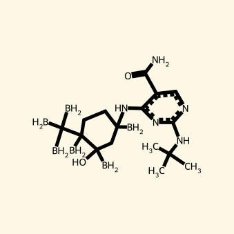 BC1(Nc2nc(NC(C)(C)C)ncc2C(N)=O)CCC(B)(C(B)(B)B)C(B)(O)C1